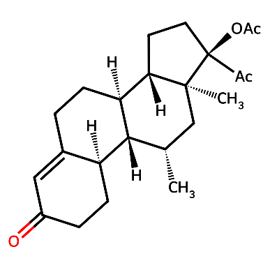 CC(=O)O[C@]1(C(C)=O)CC[C@H]2[C@@H]3CCC4=CC(=O)CC[C@@H]4[C@H]3[C@@H](C)C[C@@]21C